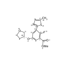 COC(=O)c1cc(O[C@@H]2CCOC2)cc(-c2ncc(C)s2)c1F